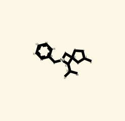 CC1CCC2(C1)CN(Cc1ccccc1)C2C(C)C